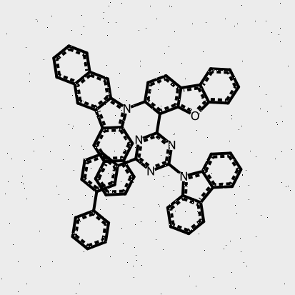 c1ccc(-c2cccc(-c3nc(-c4c(-n5c6cc7ccccc7cc6c6cc7ccccc7cc65)ccc5c4oc4ccccc45)nc(-n4c5ccccc5c5ccccc54)n3)c2)cc1